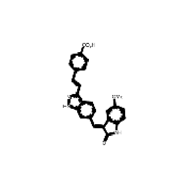 COc1ccc2c(c1)/C(=C\c1ccc3c(C=Cc4ccc(C(=O)O)cc4)n[nH]c3c1)C(=O)N2